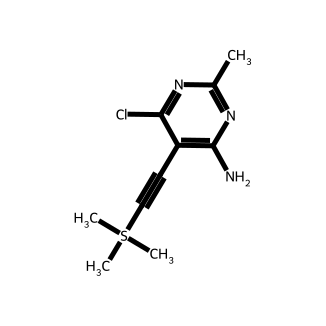 Cc1nc(N)c(C#CS(C)(C)C)c(Cl)n1